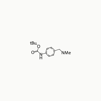 CNCc1ccc(NC(=O)OC(C)(C)C)cc1